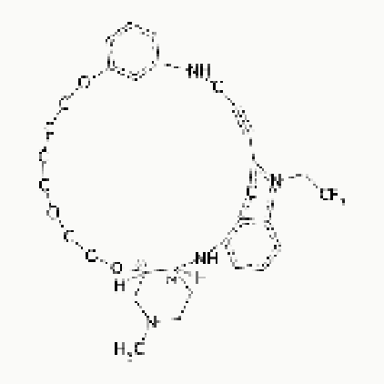 CN1CC[C@@H]2Nc3cccc4c3cc(n4CC(F)(F)F)C#CCNc3cccc(c3)OCCCCOCCO[C@@H]2C1